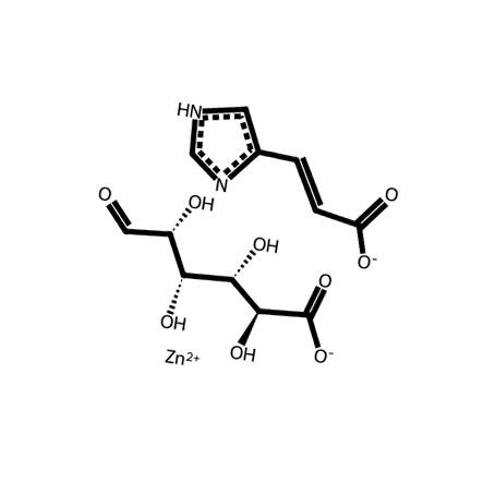 O=C([O-])C=Cc1c[nH]cn1.O=C[C@H](O)[C@@H](O)[C@H](O)[C@H](O)C(=O)[O-].[Zn+2]